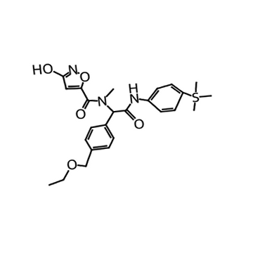 CCOCc1ccc(C(C(=O)Nc2ccc(S(C)(C)C)cc2)N(C)C(=O)c2cc(O)no2)cc1